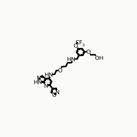 OCCOc1cc(CNCCCCOCCNc2cc(-c3cnoc3)nc3[nH]ncc23)cc(OC(F)(F)F)c1